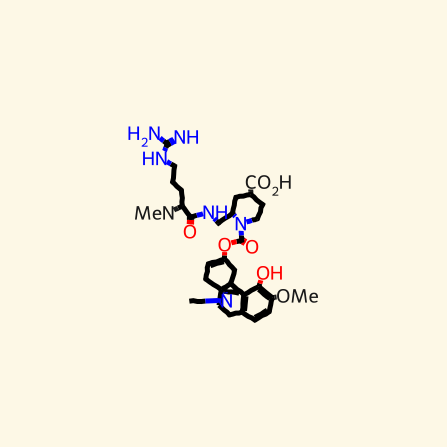 CNC(CCCNC(=N)N)C(=O)NCC1CC(C(=O)O)CCN1C(=O)OC1=CCC2C3Cc4ccc(OC)c(O)c4[C@@]2(CCN3C)C1